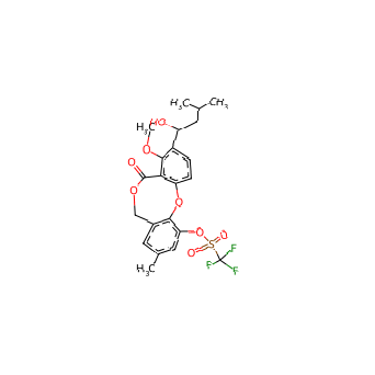 COc1c(C(O)CC(C)C)ccc2c1C(=O)OCc1cc(C)cc(OS(=O)(=O)C(F)(F)F)c1O2